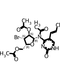 CC(=O)OC[C@H]1O[C@@H](N(C(C)=O)c2nc(=O)[nH]cc2C=CCl)[C@H](OC(C)=O)[C@H]1Br